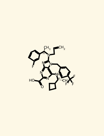 C=CCN(c1nc2nc(C(=O)O)nc(N[C@H](C)C3CCC3)c2n1Cc1ccc(C(F)(F)F)cc1)[C@@H](C)c1cccc(F)c1